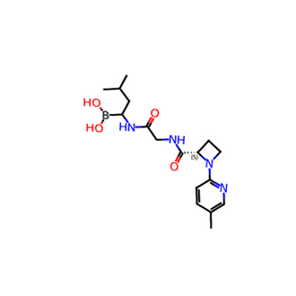 Cc1ccc(N2CC[C@H]2C(=O)NCC(=O)NC(CC(C)C)B(O)O)nc1